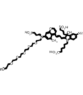 COCCOCCOCCOCCOCCOCCN(CCCS(=O)(=O)O)C1=CC(C)C2=C(/C=C/C=C3/N(CCCCCC(=O)O)c4ccc(S(=O)(=O)O)cc4C3(C)CCCS(=O)(=O)O)C=COC2=C1